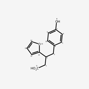 O=C(O)CC(Cc1ccc(O)cc1)c1ccco1